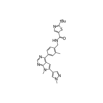 Cc1cc(-c2ncnc3c2cc(-c2cnn(C)c2)n3C)ccc1CNC(=O)c1cnc(C(C)(C)C)s1